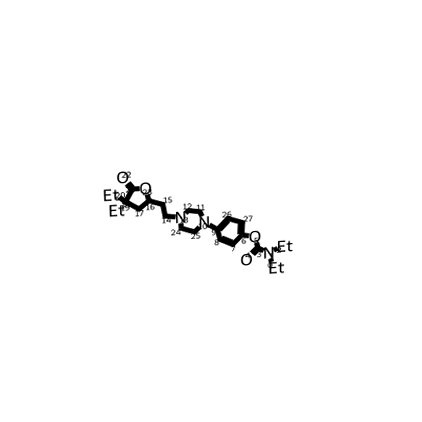 CCN(CC)C(=O)Oc1ccc(N2CCN(CCC3CC(CC)(CC)C(=O)O3)CC2)cc1